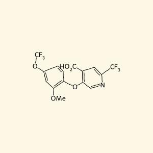 COc1cc(OC(F)(F)F)ccc1Oc1cnc(C(F)(F)F)cc1C(=O)O